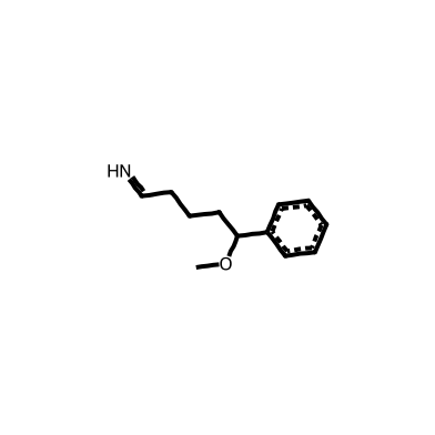 COC(CCCC=N)c1ccccc1